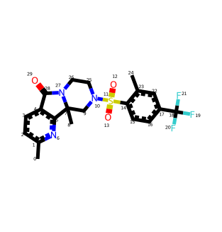 Cc1ccc2c(n1)C1(C)CN(S(=O)(=O)c3ccc(C(F)(F)F)cc3C)CCN1C2=O